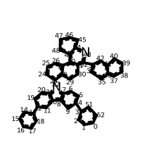 c1ccc(-c2ccc3c(c2)c2cc(-c4ccccc4)ccc2n3-c2cccc3c2ccc2c(-c4ccc5ccccc5c4)nc4ccccc4c23)cc1